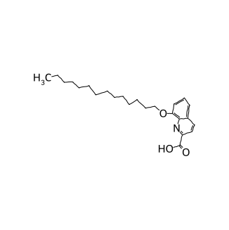 CCCCCCCCCCCCCCOc1cccc2ccc(C(=O)O)nc12